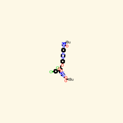 CCC(C)n1ncn(-c2ccc(N3CCN(c4ccc(OCC5COC(Cn6c[n+](COC(=O)C(C)(C)C)cn6)(c6ccc(Cl)cc6Cl)O5)cc4)CC3)cc2)c1=O